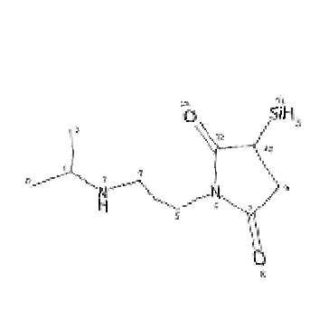 CC(C)NCCN1C(=O)CC([SiH3])C1=O